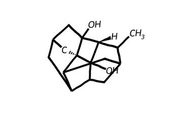 CC1C2CC3C4CC5CC6(O)[C@H]1C3(O)[C@@]6(C5)C4C2